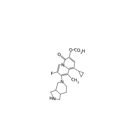 Cc1c(N2CCC3CNCC3C2)c(F)cn2c(=O)c(OC(=O)O)cc(C3CC3)c12